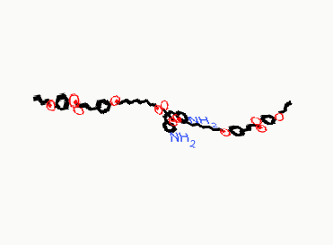 CCCCOc1ccc(OC(=O)C=Cc2ccc(OCCCCCCCCOC(=O)C(Cc3ccc(N)cc3)(Cc3ccc(N)cc3)C(=O)OCCCCCCCCOc3ccc(C=CC(=O)Oc4ccc(OCCCC)cc4)cc3)cc2)cc1